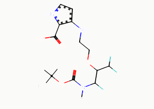 CN(C(=O)OC(C)(C)C)C(F)C(OCCNc1cc[nH]c1C(=O)O)C(F)F